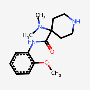 COc1ccccc1NC(=O)C1(N(C)C)CCNCC1